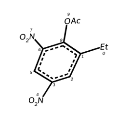 CCc1cc([N+](=O)[O-])cc([N+](=O)[O-])c1OC(C)=O